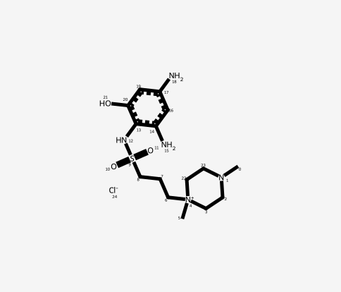 CN1CC[N+](C)(CCCS(=O)(=O)Nc2c(N)cc(N)cc2O)CC1.[Cl-]